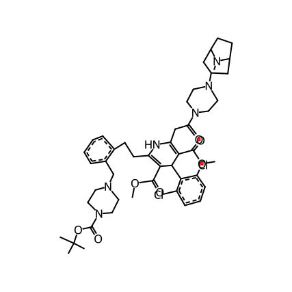 COC(=O)C1=C(CCc2ccccc2CN2CCN(C(=O)OC(C)(C)C)CC2)NC(CC(=O)N2CCN(C3CC4CCC(C3)N4C)CC2)=C(C(=O)OC)C1c1c(Cl)cccc1Cl